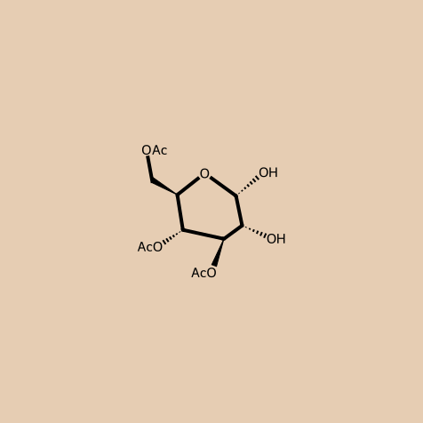 CC(=O)OC[C@H]1O[C@H](O)[C@H](O)[C@@H](OC(C)=O)[C@@H]1OC(C)=O